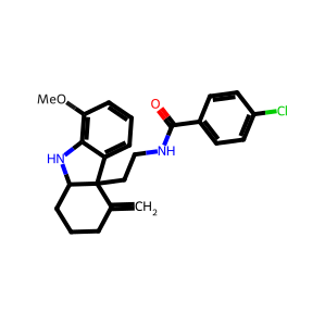 C=C1CCCC2Nc3c(OC)cccc3C12CCNC(=O)c1ccc(Cl)cc1